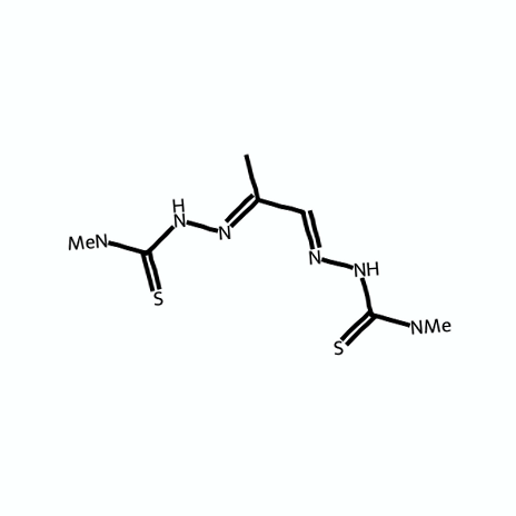 CNC(=S)NN=CC(C)=NNC(=S)NC